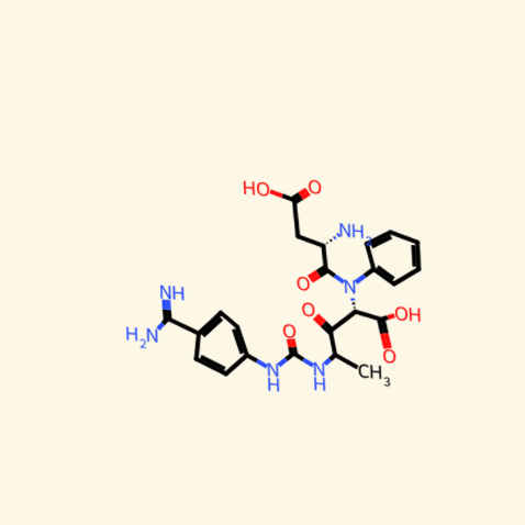 CC(NC(=O)Nc1ccc(C(=N)N)cc1)C(=O)[C@@H](C(=O)O)N(C(=O)[C@@H](N)CC(=O)O)c1ccccc1